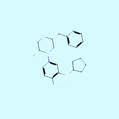 COc1ccc(N2C[C@H](Cc3ccccc3)NC[C@@H]2C)cc1OC1CCCC1